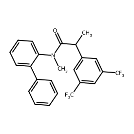 CC(C(=O)N(C)c1ccccc1-c1ccccc1)c1cc(C(F)(F)F)cc(C(F)(F)F)c1